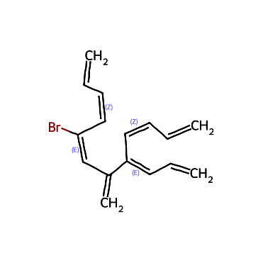 C=C/C=C\C(Br)=C/C(=C)C(/C=C\C=C)=C/C=C